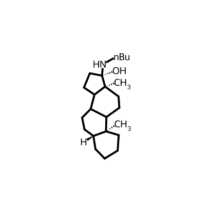 CCCCN[C@]1(O)CCC2C3CC[C@H]4CCCC[C@]4(C)C3CC[C@@]21C